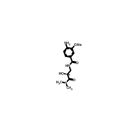 COc1cc(C(=O)NC[C@H](O)C(=O)N(C)C)ccc1N